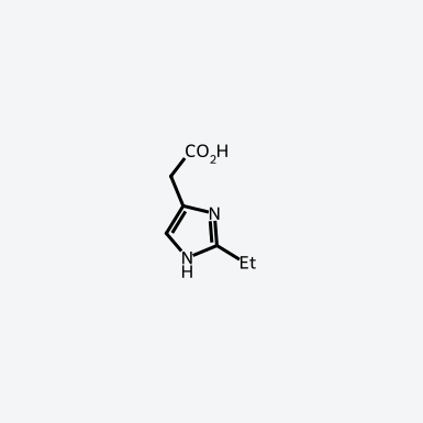 CCc1nc(CC(=O)O)c[nH]1